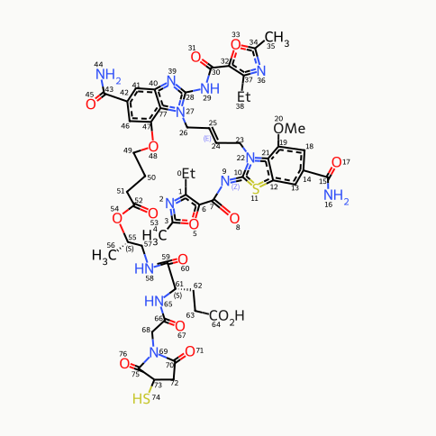 CCc1nc(C)oc1C(=O)/N=c1\sc2cc(C(N)=O)cc(OC)c2n1C/C=C/Cn1c(NC(=O)c2oc(C)nc2CC)nc2cc(C(N)=O)cc(OCCCC(=O)O[C@@H](C)CNC(=O)[C@H](CCC(=O)O)NC(=O)CN3C(=O)CC(S)C3=O)c21